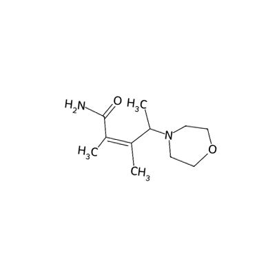 CC(C(N)=O)=C(C)C(C)N1CCOCC1